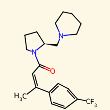 CC(=CC(=O)N1CCC[C@H]1CN1CCCCC1)c1ccc(C(F)(F)F)cc1